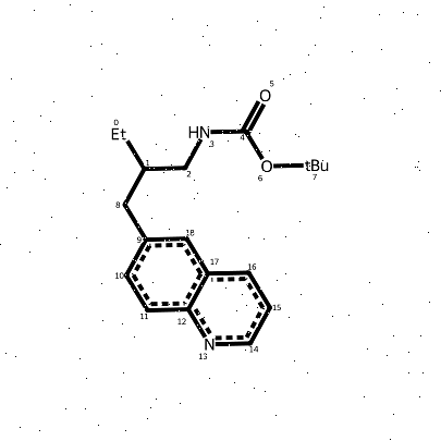 CCC(CNC(=O)OC(C)(C)C)Cc1ccc2ncccc2c1